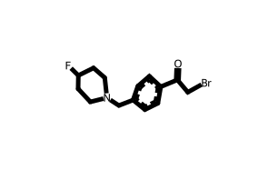 O=C(CBr)c1ccc(CN2CCC(F)CC2)cc1